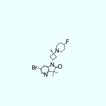 CC1(C)C(=O)N([C@H]2C[C@@](C)(N3CCC(F)CC3)C2)c2cc(Br)cnc21